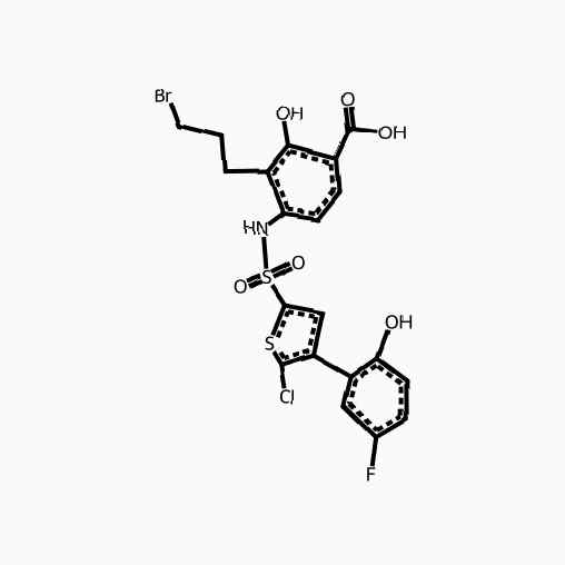 O=C(O)c1ccc(NS(=O)(=O)c2cc(-c3cc(F)ccc3O)c(Cl)s2)c(CCCBr)c1O